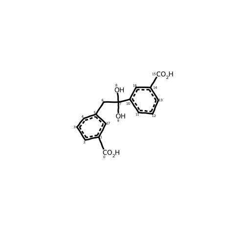 O=C(O)c1cccc(CC(O)(O)c2cccc(C(=O)O)c2)c1